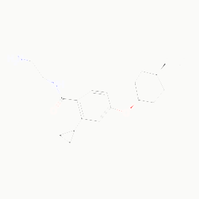 CCOC(=O)[C@H]1CC[C@@H](Oc2ccc(C(=O)NCCN)c(C3CC3)c2)CC1